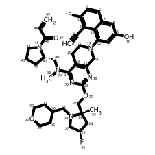 C#Cc1c(F)ccc2cc(O)cc(N3CCc4c(nc(OC[C@]5(C)C[C@@H](F)CN5CC5CCOCC5)nc4N(C)C[C@@H]4CCCN4C(=O)C=C)C3)c12